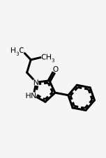 CC(C)Cn1[nH]cc(-c2ccccc2)c1=O